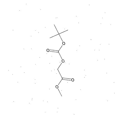 COC(=O)COC(=O)OC(C)(C)C